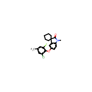 CN1C(=O)C2(CCCCC2)c2cc(Oc3c(F)cc(C(F)(F)F)cc3Cl)ccc21